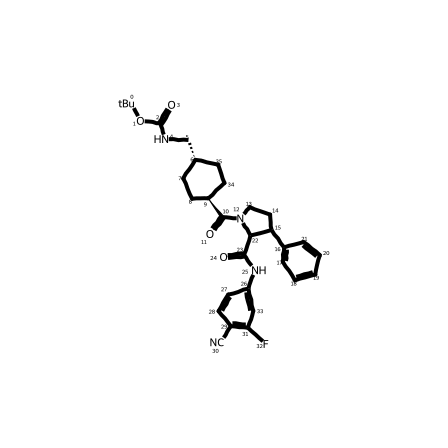 CC(C)(C)OC(=O)NC[C@H]1CC[C@H](C(=O)N2CCC(c3ccccc3)C2C(=O)Nc2ccc(C#N)c(F)c2)CC1